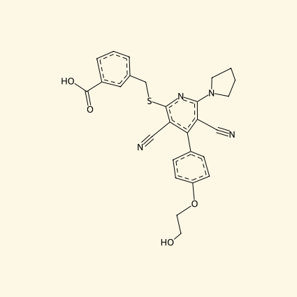 N#Cc1c(SCc2cccc(C(=O)O)c2)nc(N2CCCC2)c(C#N)c1-c1ccc(OCCO)cc1